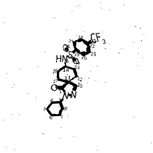 O=C1N(C2CCCCC2)N=C[C@]12CC[C@H](NS(=O)(=O)c1ccc(C(F)(F)F)cc1)CC2